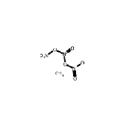 C.O=[N+]([O-])O[N+](=O)O[N+](=O)O